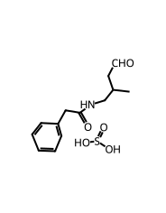 CC(CC=O)CNC(=O)Cc1ccccc1.O=S(O)O